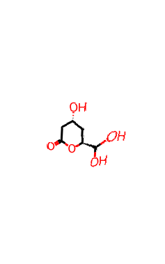 O=C1C[C@H](O)C[C@@H](C(O)O)O1